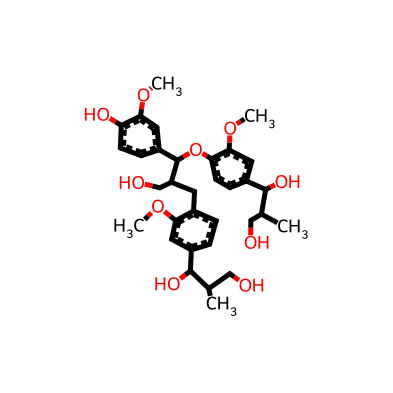 COc1cc(C(Oc2ccc(C(O)C(C)CO)cc2OC)C(CO)Cc2ccc(C(O)C(C)CO)cc2OC)ccc1O